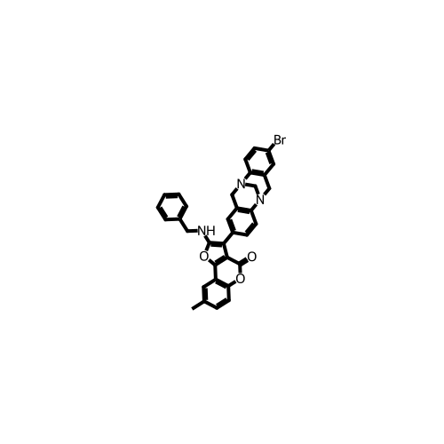 Cc1ccc2oc(=O)c3c(-c4ccc5c(c4)CN4CN5Cc5cc(Br)ccc54)c(NCc4ccccc4)oc3c2c1